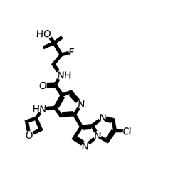 CC(C)(O)C(F)CNC(=O)c1cnc(-c2cnn3cc(Cl)cnc23)cc1NC1COC1